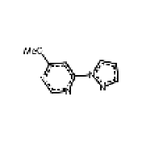 COc1cc(-n2cccn2)ncn1